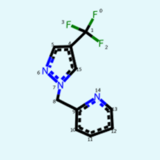 FC(F)(F)c1cnn(Cc2ccccn2)c1